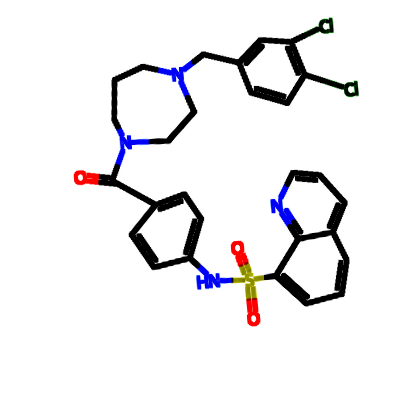 O=C(c1ccc(NS(=O)(=O)c2cccc3cccnc23)cc1)N1CCCN(Cc2ccc(Cl)c(Cl)c2)CC1